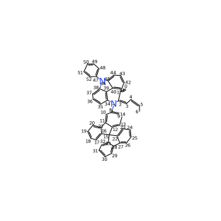 C=C/C(=C\C=C/C)N(C(=C)/C=C1\C(=C/C)C2(c3ccccc31)c1ccccc1-c1ccccc12)c1cccc2c1c1ccccc1n2-c1ccccc1